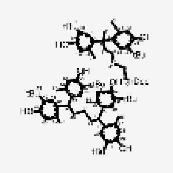 CCCCCCCCCCCCSCCC(C)(c1cc(C(C)(C)C)c(O)cc1C)c1cc(C(C)(C)C)c(O)cc1C.Cc1cc(O)c(C(C)(C)C)cc1C(CCCC(c1cc(C(C)(C)C)c(O)cc1C)c1cc(C(C)(C)C)c(O)cc1C)c1cc(C(C)(C)C)c(O)cc1C